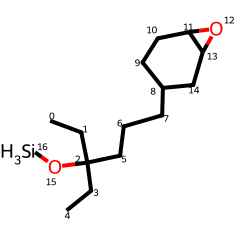 CCC(CC)(CCCC1CCC2OC2C1)O[SiH3]